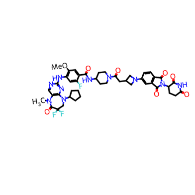 COc1cc(C(=O)NC2CCN(C(=O)CC3CN(c4ccc5c(c4)C(=O)N(C4CCC(=O)NC4=O)C5=O)C3)CC2)c(F)cc1Nc1ncc2c(n1)N(C1CCCC1)CC(F)(F)C(=O)N2C